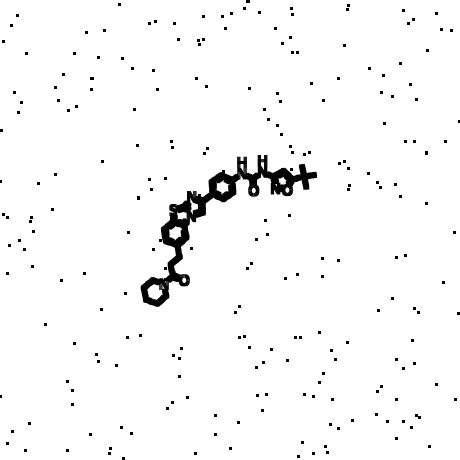 CC(C)(C)c1cc(NC(=O)Nc2ccc(-c3cn4c(n3)sc3ccc(CCC(=O)N5CCCCC5)cc34)cc2)no1